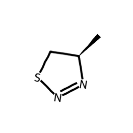 C[C@@H]1CSN=N1